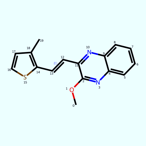 COc1nc2ccccc2nc1/C=C/c1sccc1C